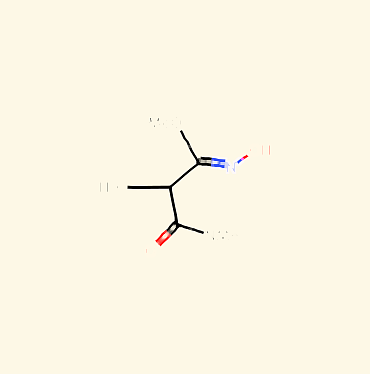 CNC(=O)C(C)C(=NO)OC